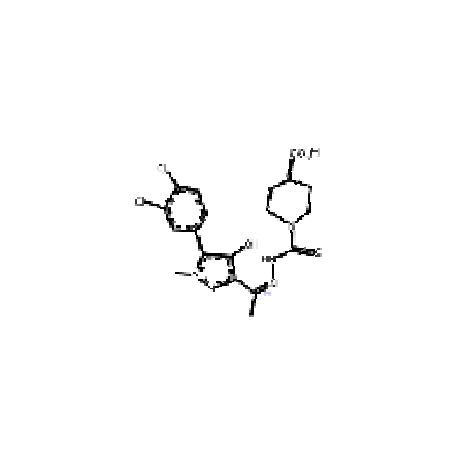 C/C(=N/NC(=S)N1CCC(C(=O)O)CC1)c1nn(C)c(-c2ccc(Cl)c(Cl)c2)c1O